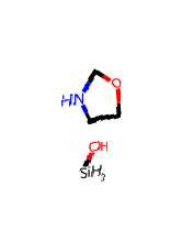 C1COCN1.O[SiH3]